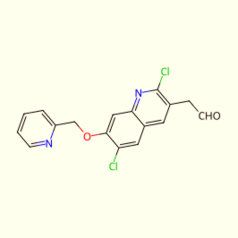 O=CCc1cc2cc(Cl)c(OCc3ccccn3)cc2nc1Cl